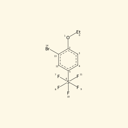 CCOc1ccc(S(F)(F)(F)(F)F)cc1Br